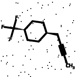 CC#CC[C@H]1CC[C@H](C(F)(F)F)CC1